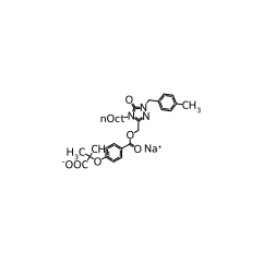 CCCCCCCCn1c(COC(=O)c2ccc(OC(C)(C)C(=O)[O-])cc2)nn(Cc2ccc(C)cc2)c1=O.[Na+]